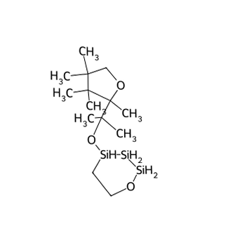 CC1(C)COC(C)(C(C)(C)O[SiH]2CCO[SiH2][SiH2]2)C1(C)C